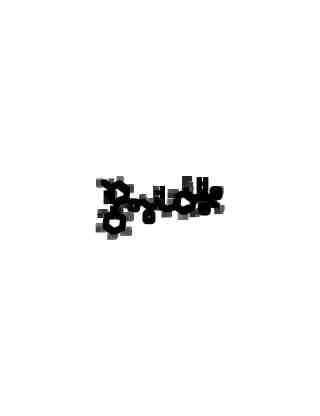 Cc1ccc(OCC(=O)NCc2ccc(NS(C)(=O)=O)c(F)c2)c(N2CCCCC2)n1